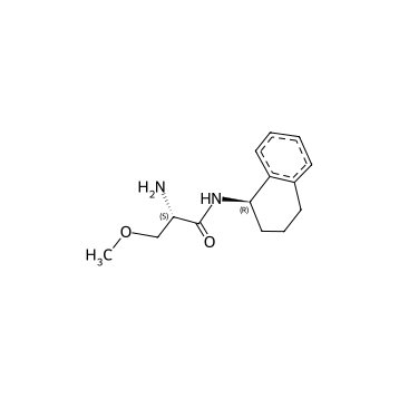 COC[C@H](N)C(=O)N[C@@H]1CCCc2ccccc21